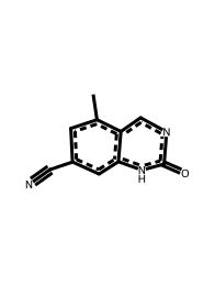 Cc1cc(C#N)cc2[nH]c(=O)ncc12